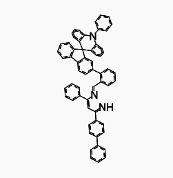 N=C(/C=C(\N=C\c1ccccc1-c1ccc2c(c1)C1(c3ccccc3-2)c2ccccc2N(c2ccccc2)c2ccccc21)c1ccccc1)c1ccc(-c2ccccc2)cc1